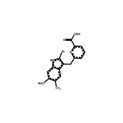 COC(=O)c1cccc(Cc2c(C(C)C)[nH]c3cc(OC)c(C)cc23)n1